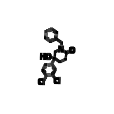 O=C1CCC(O)(c2ccc(Cl)c(Cl)c2)CN1Cc1ccccc1